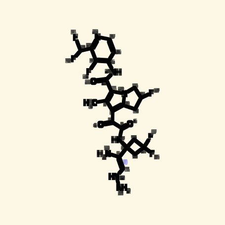 Cc1c(C(=O)C(=O)NC2(/C(N)=C/NN)CC(F)(F)C2)c2n(c1C(=O)Nc1ccnc(C(F)F)c1F)CC(F)C2